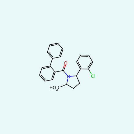 O=C(O)C1CCC(c2ccccc2Cl)N1C(=O)c1ccccc1-c1ccccc1